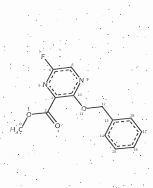 COC(=O)c1nc(F)cnc1OCc1ccccc1